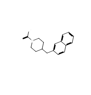 O=C(O)N1CCC(Cc2ccc3ccccc3c2)CC1